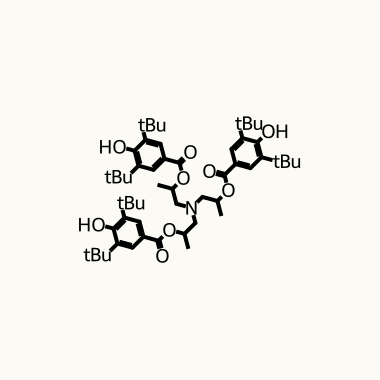 CC(CN(CC(C)OC(=O)c1cc(C(C)(C)C)c(O)c(C(C)(C)C)c1)CC(C)OC(=O)c1cc(C(C)(C)C)c(O)c(C(C)(C)C)c1)OC(=O)c1cc(C(C)(C)C)c(O)c(C(C)(C)C)c1